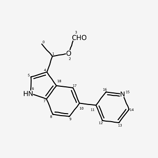 CC(OC=O)c1c[nH]c2ccc(-c3cccnc3)cc12